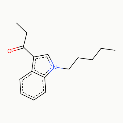 CCCCCn1cc(C(=O)CC)c2ccccc21